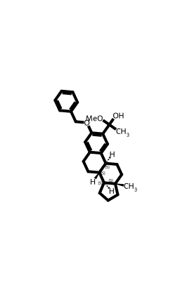 COC(C)(O)c1cc2c(cc1OCc1ccccc1)CC[C@@H]1[C@@H]2CC[C@]2(C)CCC[C@@H]12